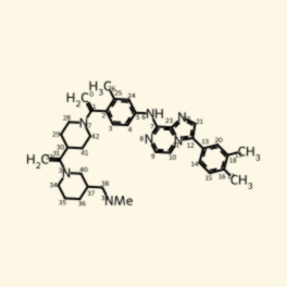 C=C(c1ccc(Nc2nccn3c(-c4ccc(C)c(C)c4)cnc23)cc1C)N1CCC(C(=C)N2CCCC(CNC)C2)CC1